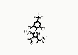 CC(c1nn(-c2c(Cl)cc(C(F)(F)F)cc2Cl)c(N)c1[S+](C)[O-])=[N+](C)[O-]